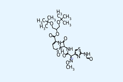 CO/N=C(\C(=O)NC1C(=O)N2C(C(=O)OC(COC(C)(C)C)COC(C)(C)C)=CC[S+]([O-])[C@H]12)c1csc(NC=O)n1